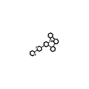 c1ccc(-c2ccc(-c3ccc4c(c3)-c3ccccc3-c3cccc5c6ccccc6n-4c35)cn2)nc1